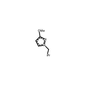 COc1ccn(CC(C)C)n1